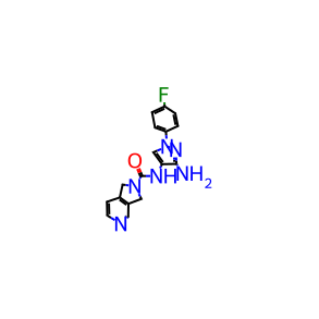 Nc1nn(-c2ccc(F)cc2)cc1NC(=O)N1Cc2ccncc2C1